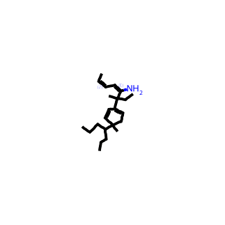 C/C=C\C=C(\N)C(C)(CC)C1=CCC(C)(C(CCC)CCC)C=C1